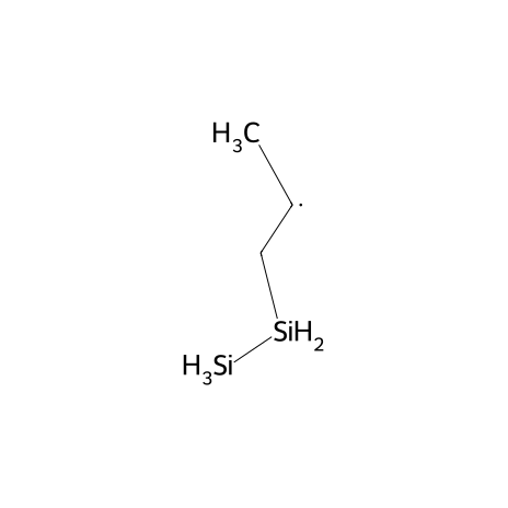 C[CH]C[SiH2][SiH3]